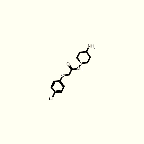 NC1CCN(NC(=O)COc2ccc(Cl)cc2)CC1